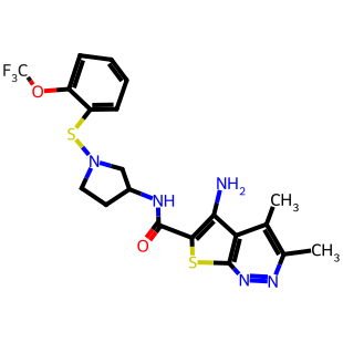 Cc1nnc2sc(C(=O)NC3CCN(Sc4ccccc4OC(F)(F)F)C3)c(N)c2c1C